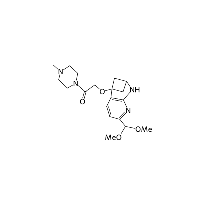 COC(OC)c1ccc2c(n1)NC1CC2(OCC(=O)N2CCN(C)CC2)C1